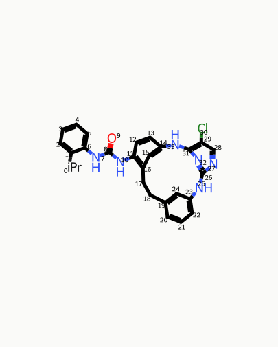 CC(C)c1ccccc1NC(=O)Nc1ccc2cc1CCc1cccc(c1)Nc1ncc(Cl)c(n1)N2